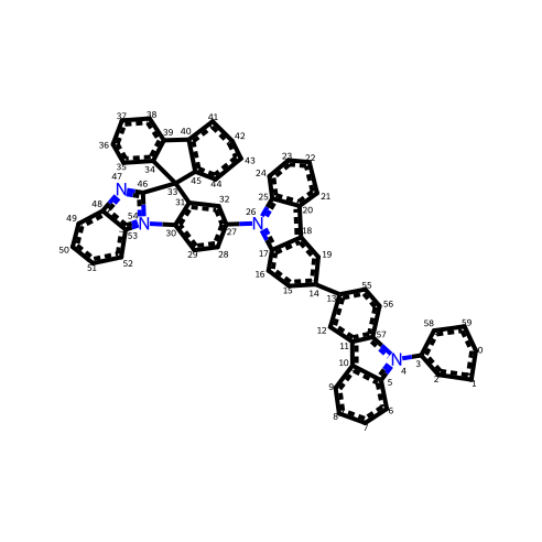 c1ccc(-n2c3ccccc3c3cc(-c4ccc5c(c4)c4ccccc4n5-c4ccc5c(c4)C4(c6ccccc6-c6ccccc64)c4nc6ccccc6n4-5)ccc32)cc1